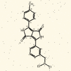 CCN(CC)Cc1cccc(C2=C3C(=O)NC(c4ccc(C)cc4)=C3C(=O)N2)c1